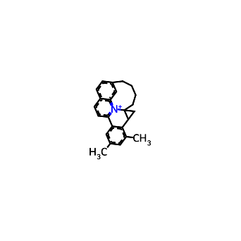 Cc1cc(C)c2c(c1)-c1ccc3ccc4cc3[n+]1C1(CCCC4)CC21